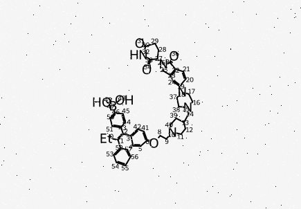 CC/C(=C(/c1ccc(OCCN2CCC(CN3CCN(c4ccc5c(c4)CN([C@H]4CCC(=O)NC4=O)C5=O)CC3)CC2)cc1)c1ccc(B(O)O)cc1)c1ccccc1